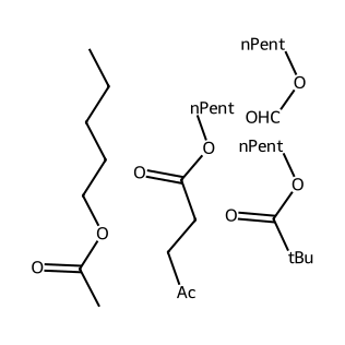 CCCCCOC(=O)C(C)(C)C.CCCCCOC(=O)CCC(C)=O.CCCCCOC(C)=O.CCCCCOC=O